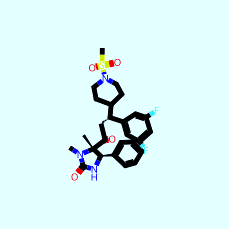 CN1C(=O)N[C@H](c2ccccc2)[C@@]1(C)C(=O)C[C@@H](c1cc(F)cc(F)c1)C1CCN(S(C)(=O)=O)CC1